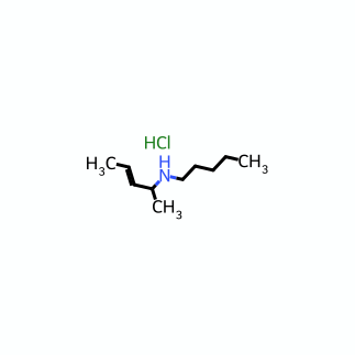 CC=CC(C)NCCCCC.Cl